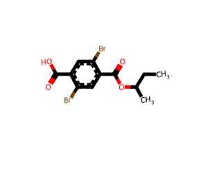 CCC(C)OC(=O)c1cc(Br)c(C(=O)O)cc1Br